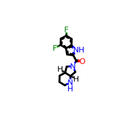 O=C(c1cc2c(F)cc(F)cc2[nH]1)N1C[C@H]2CCCN[C@H]2C1